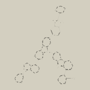 Brc1ccccc1-c1cccc2c1sc1cc(-n3c4cc(C5=CC6N=C(c7ccccc7)OC6C=C5)ccc4c4ccc(-c5cccc6c5ccn6-c5ccccc5)cc43)ccc12